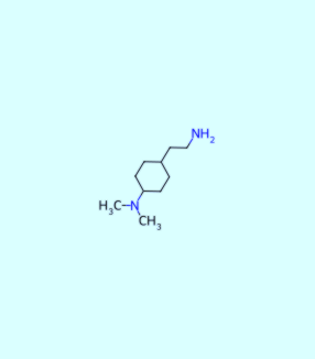 CN(C)C1CCC(CCN)CC1